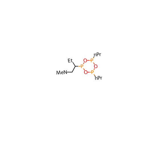 CCCP1OP(CCC)OP(C(CC)CNC)O1